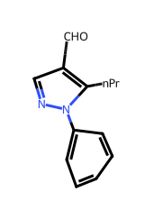 CCCc1c(C=O)cnn1-c1ccccc1